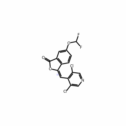 O=C1O/C(=C/c2c(Cl)cncc2Cl)c2ccc(OC(F)F)cc21